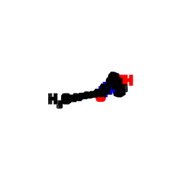 CCCCCCCCCCCCCC(=O)N1CCN(C(C)c2nc3ccccc3c(=O)n2-c2ccccc2O)CC1